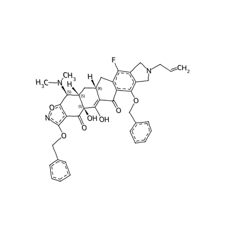 C=CCN1Cc2c(F)c3c(c(OCc4ccccc4)c2C1)C(=O)C1=C(O)[C@]2(O)C(=O)c4c(OCc5ccccc5)noc4[C@@H](N(C)C)[C@@H]2C[C@@H]1C3